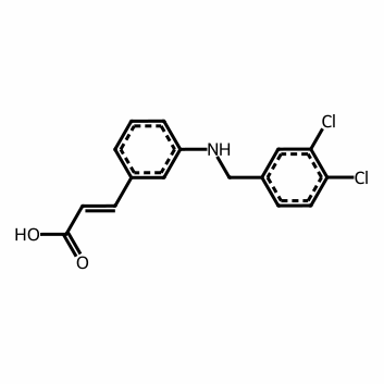 O=C(O)C=Cc1cccc(NCc2ccc(Cl)c(Cl)c2)c1